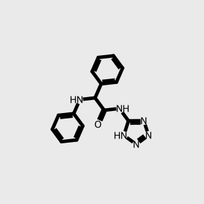 O=C(Nc1nnn[nH]1)C(Nc1ccccc1)c1ccccc1